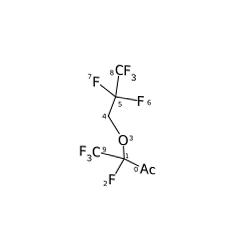 CC(=O)C(F)(OCC(F)(F)C(F)(F)F)C(F)(F)F